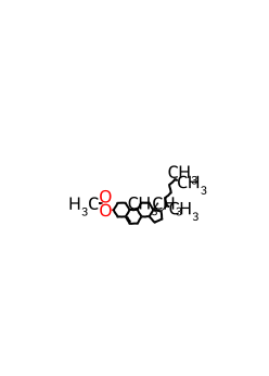 CC(=O)O[C@H]1CC[C@@]2(C)C(=CCC3C2CC[C@@]2(C)C3CC[C@@H]2C(C)CCCC(C)C)C1